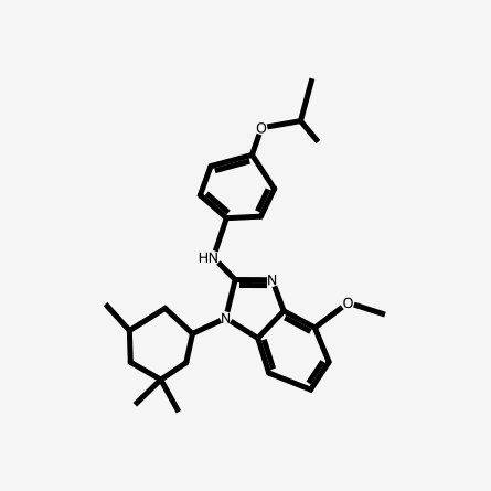 COc1cccc2c1nc(Nc1ccc(OC(C)C)cc1)n2C1CC(C)CC(C)(C)C1